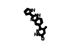 CC1CC(=O)NN=C1c1ccc2[nH]c(-c3ccc[nH]3)nc2c1